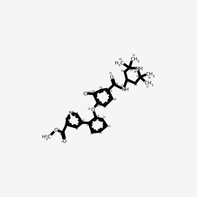 COC(=O)c1cncc(-c2ccccc2Oc2ccc(C(=O)NC3CC(C)(C)NC(C)(C)C3)cc2Cl)c1